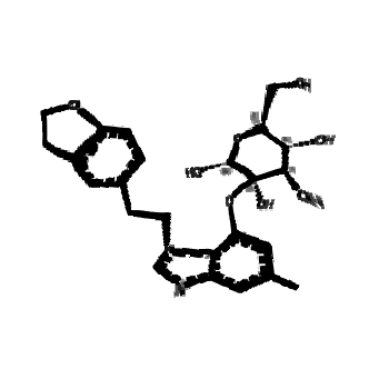 Cc1cc(O[C@@]2(O)[C@H](O)O[C@@H](CO)[C@H](O)[C@H]2O)c2c(c1)ncn2CCc1ccc2c(c1)CCO2